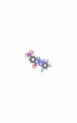 O=c1[nH]c(Nc2cc(F)cc(F)c2)nc2cc([N+](=O)[O-])ccc12